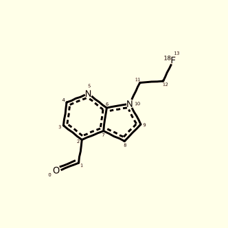 O=Cc1ccnc2c1ccn2CC[18F]